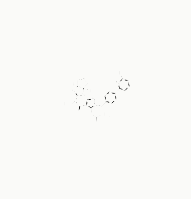 CC(C)Oc1c2c(nn1Cc1ccc(-c3cccc(F)n3)cc1)N1C(=N[C@@H]3CCC[C@@H]31)N(C)C2=O